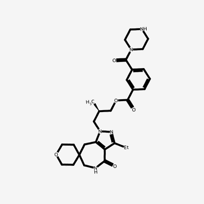 CCc1nn(C[C@@H](C)COC(=O)c2cccc(C(=O)N3CCNCC3)c2)c2c1C(=O)NCC1(CCOCC1)C2